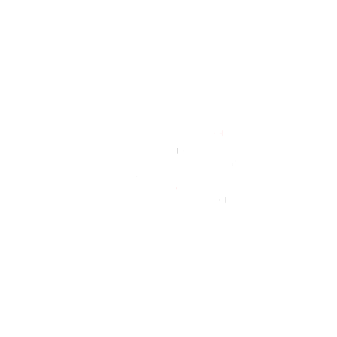 C[C@H](OCc1ccccc1)C(C)(C)O